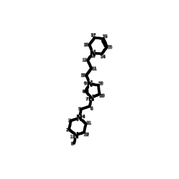 CN1CCN(CCN2[C]N(CCCN3CC=CCC3)CC2)CC1